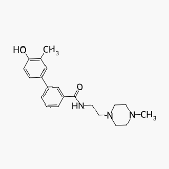 Cc1cc(-c2cccc(C(=O)NCCN3CCN(C)CC3)c2)ccc1O